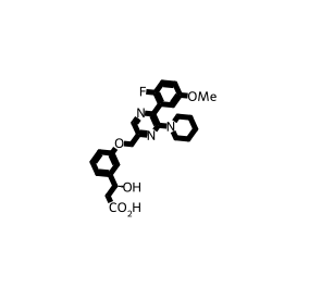 COc1ccc(F)c(-c2ncc(COc3cccc([C@H](O)CC(=O)O)c3)nc2N2CCCCC2)c1